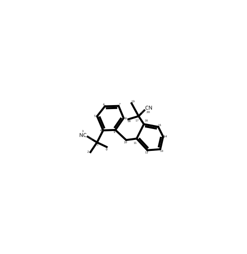 CC(C)(C#N)c1ccccc1Cc1ccccc1C(C)(C)C#N